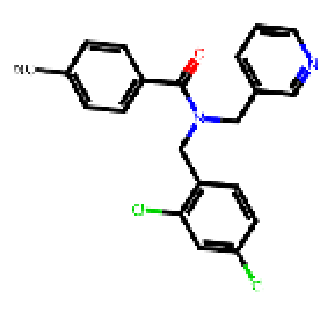 N#Cc1ccc(C(=O)N(Cc2cccnc2)Cc2ccc(Cl)cc2Cl)cc1